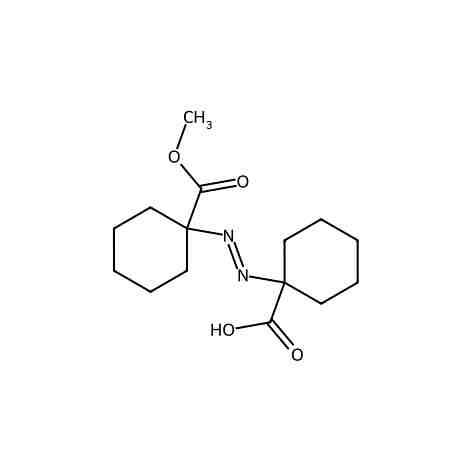 COC(=O)C1(N=NC2(C(=O)O)CCCCC2)CCCCC1